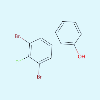 Fc1c(Br)cccc1Br.Oc1ccccc1